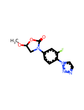 COC1CN(c2ccc(-n3ccnn3)c(F)c2)C(=O)O1